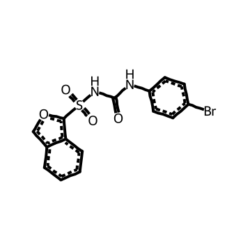 O=C(Nc1ccc(Br)cc1)NS(=O)(=O)c1occ2ccccc12